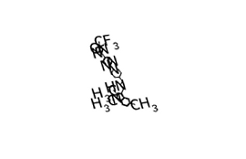 Cc1ccc2c(c1)c(CNCC1CCN(c3ncc(-c4noc(C(F)(F)F)n4)cn3)CC1)c(C)n2C